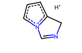 C1=NCc2cccn21.[H+]